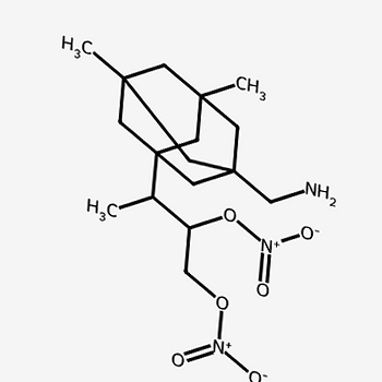 CC(C(CO[N+](=O)[O-])O[N+](=O)[O-])C12CC3(C)CC(C)(CC(CN)(C3)C1)C2